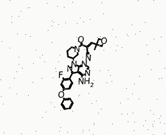 CC1(C=C(C#N)C(=O)N2CCC[C@H](n3nc(-c4ccc(Oc5ccccc5)cc4F)c4c(N)ncnc43)C2)COC1